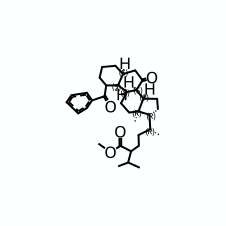 COC(=O)C(CC[C@@H](C)[C@H]1CC[C@H]2[C@@H]3C(=O)C[C@@H]4CCCC(C(=O)c5ccccc5)[C@]4(C)[C@H]3CC[C@]12C)C(C)C